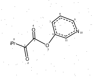 CC(C)C(=O)C(=O)Oc1cccnc1